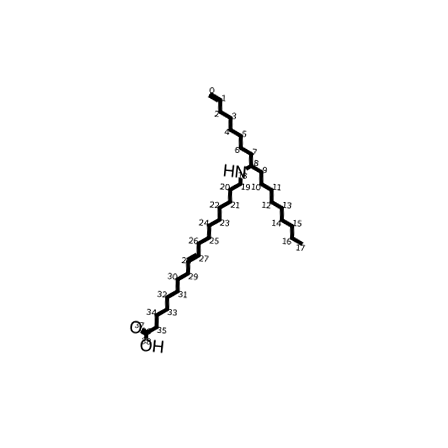 C=CCCCCCCC(CCCCCCCCC)NCCCCCCCCC=CCCCCCCCC(=O)O